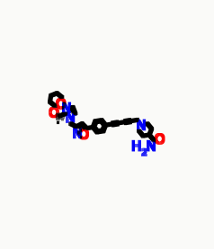 C[C@H](OC1CCCCO1)c1nccn1Cc1cc(-c2ccc(C#CC#CCN3CCC(C(N)=O)CC3)cc2)on1